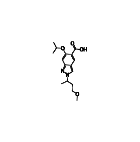 COCCC(C)n1cc2cc(C(=O)O)c(OC(C)C)cc2n1